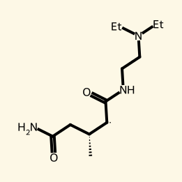 CCN(CC)CCNC(=O)[CH][C@H](C)CC(N)=O